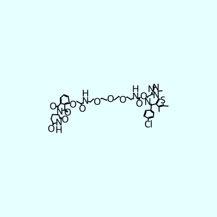 Cc1sc2c(c1C)C(c1ccc(Cl)cc1)=NC(OC(=O)NCCOCCOCCOCCNC(=O)COc1cccc3c1C(=O)N(C1CCC(=O)NC1=O)C3=O)c1nnc(C)n1-2